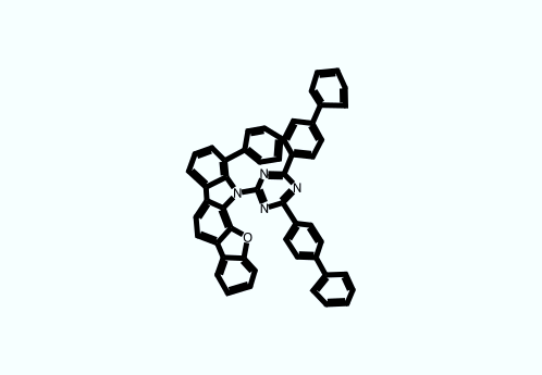 c1ccc(-c2ccc(-c3nc(-c4ccc(-c5ccccc5)cc4)nc(-n4c5c(-c6ccccc6)cccc5c5ccc6c7ccccc7oc6c54)n3)cc2)cc1